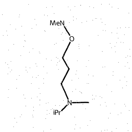 CNOCCCN(C)C(C)C